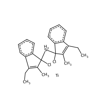 CCC1=C(C)C(Cl)([SiH2]C2(Cl)C(C)=C(CC)c3ccccc32)c2ccccc21.[Ti]